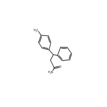 Cc1ccc(C(CC(N)=O)c2ccccc2)cc1